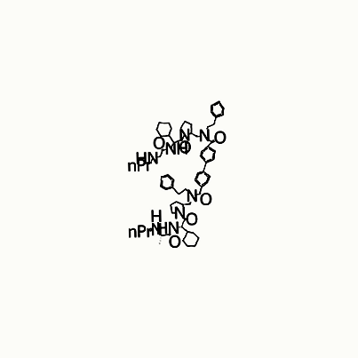 CCCNCC(=O)N[C@H](C(=O)N1CCC[C@H]1CN(CCc1ccccc1)C(=O)c1ccc(-c2ccc(C(=O)N(CCc3ccccc3)C[C@@H]3CCCN3C(=O)[C@@H](NC(=O)[C@H](C)NCCC)C3CCCCC3)cc2)cc1)C1CCCCC1